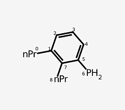 CCCc1cccc(P)c1CCC